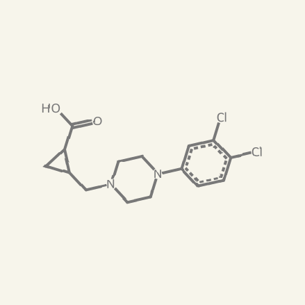 O=C(O)C1CC1CN1CCN(c2ccc(Cl)c(Cl)c2)CC1